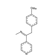 CN=C(Cc1ccc(OC)cc1)c1ccncc1